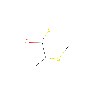 CSC(C)C(=O)[S]